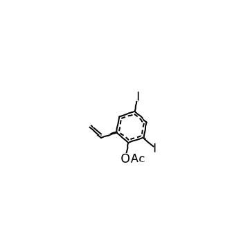 C=Cc1cc(I)cc(I)c1OC(C)=O